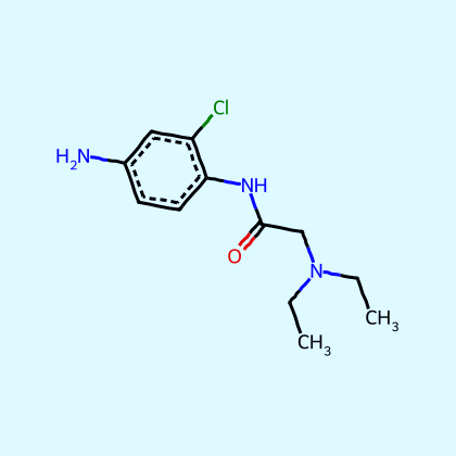 CCN(CC)CC(=O)Nc1ccc(N)cc1Cl